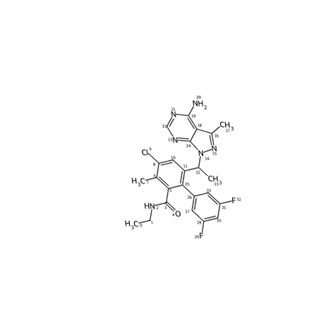 CCNC(=O)c1c(C)c(Cl)cc(C(C)n2nc(C)c3c(N)ncnc32)c1-c1cc(F)cc(F)c1